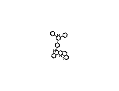 c1ccc(-c2cc(-c3ccc(-c4nc5ccccc5c5nc6c(ccc7cccnc76)cc45)cc3)cc(-c3ccccc3)n2)cc1